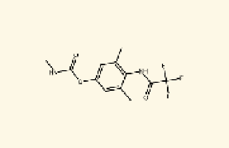 CNC(=O)Oc1cc(C)c(NC(=O)C(F)(F)F)c(C)c1